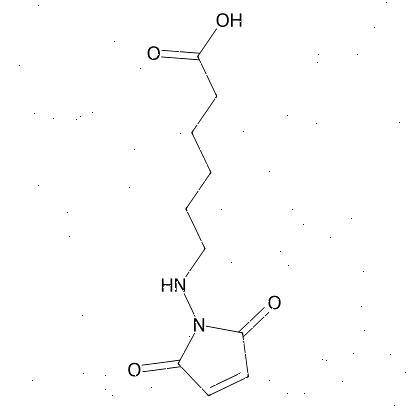 O=C(O)CCCCCNN1C(=O)C=CC1=O